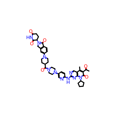 CC(=O)c1c(C)c2cnc(Nc3ccc(N4CCN(C(=O)C5CCN(c6ccc7c(c6)CN(C6CCC(=O)NC6=O)C7=O)CC5)CC4)cn3)nc2n(C2CCCC2)c1=O